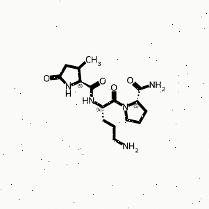 CC1CC(=O)N[C@@H]1C(=O)N[C@@H](CCCN)C(=O)N1CCC[C@H]1C(N)=O